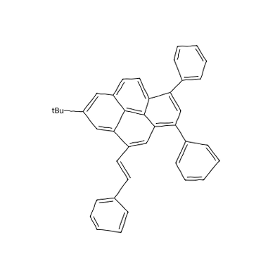 CC(C)(C)c1cc2ccc3c(-c4ccccc4)cc(-c4ccccc4)c4cc(C=Cc5ccccc5)c(c1)c2c34